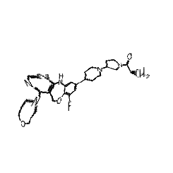 C=CC(=O)N1CCC(N2CCC(c3cc(F)c4c(c3)Nc3ncnc(N5CCOCC5)c3CO4)CC2)C1